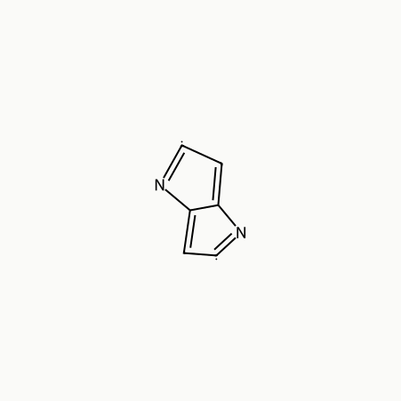 [C]1=NC2=C[C]=NC2=C1